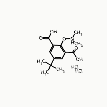 C[SiH](C)Oc1c(C(=O)O)cc(C(C)(C)C)cc1C(=O)O.Cl.Cl